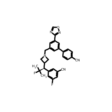 CC(C)(F)[C@H](c1cc(F)cc(C#N)c1)C1CN(Cc2cc(-c3ccc(C#N)cc3)cc(-c3ncon3)c2)C1